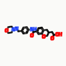 O=C(O)CC1COc2cc(C(=O)Nc3ccc(C=NN4CCOCC4)cc3)ccc2C1